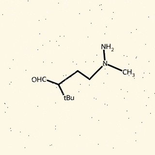 CN(N)CCC(C=O)C(C)(C)C